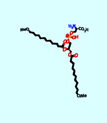 COCCCCCCCCCCCC(=O)OC[C@@H](COP(=O)(O)OC[C@H](N)C(=O)O)OC(=O)CCCCCCCCCCCOC